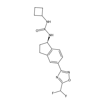 O=C(NC1CCC1)N[C@@H]1CCc2cc(-c3noc(C(F)F)n3)ccc21